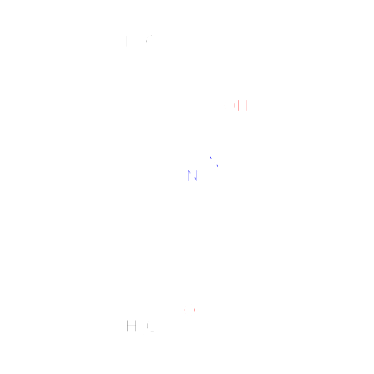 CCCc1cn(-c2ccc(OC)cc2)nc1O